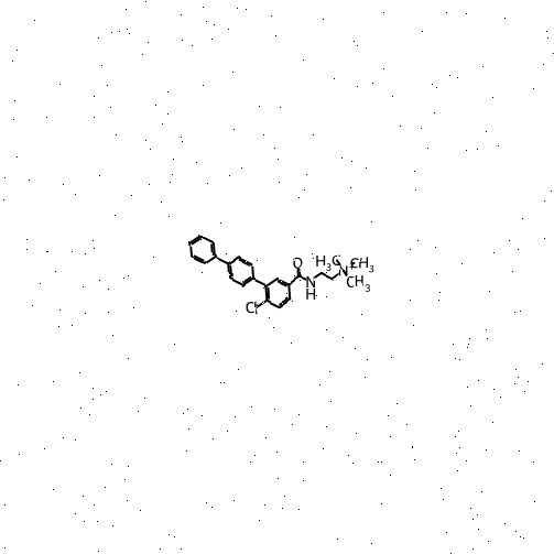 C[N+](C)(C)CCNC(=O)c1ccc(Cl)c(-c2ccc(-c3ccccc3)cc2)c1